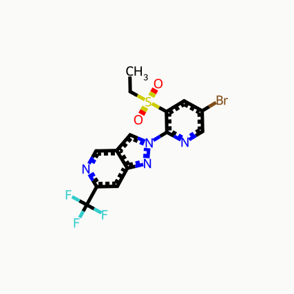 CCS(=O)(=O)c1cc(Br)cnc1-n1cc2cnc(C(F)(F)F)cc2n1